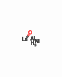 [AlH3].[Ni].[O]=[La]